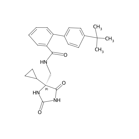 CC(C)(C)c1ccc(-c2ccccc2C(=O)NC[C@@]2(C3CC3)NC(=O)NC2=O)cc1